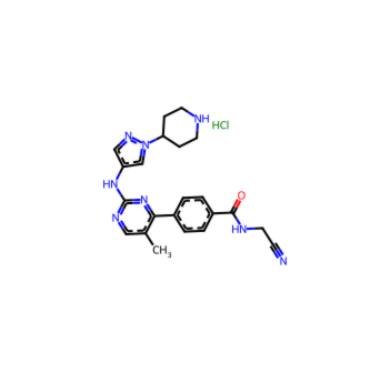 Cc1cnc(Nc2cnn(C3CCNCC3)c2)nc1-c1ccc(C(=O)NCC#N)cc1.Cl